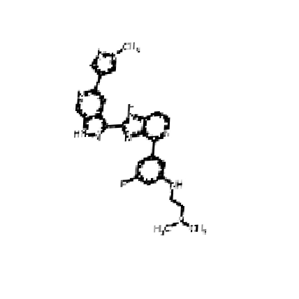 CN(C)CCNc1cc(F)cc(-c2nccc3[nH]c(-c4n[nH]c5cnc(-c6cnn(C)c6)cc45)nc23)c1